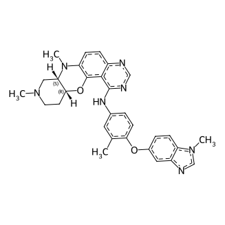 Cc1cc(Nc2ncnc3ccc4c(c23)O[C@@H]2CCN(C)C[C@@H]2N4C)ccc1Oc1ccc2c(c1)ncn2C